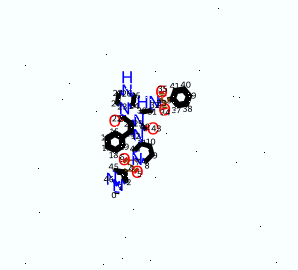 Cn1cc(S(=O)(=O)N2CCCC(n3c(-c4ccccc4)c(C(=O)N4CCNCC4)n(CCNS(=O)(=O)c4ccccc4)c3=O)C2)cn1